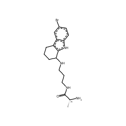 C[C@@H](N)C(=O)NCCCNC1CCCc2c1[nH]c1ccc(Br)cc21